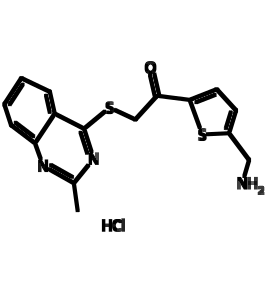 Cc1nc(SCC(=O)c2ccc(CN)s2)c2ccccc2n1.Cl